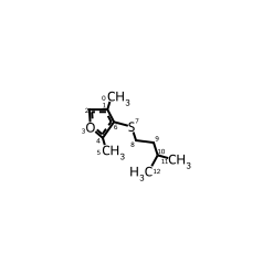 Cc1coc(C)c1SCCC(C)C